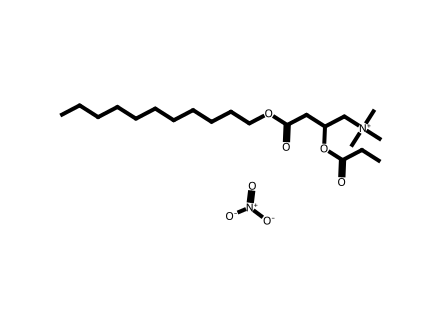 CCCCCCCCCCCOC(=O)CC(C[N+](C)(C)C)OC(=O)CC.O=[N+]([O-])[O-]